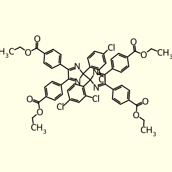 CCOC(=O)c1ccc(C2=NC(c3ccc(Cl)cc3Cl)(C3(c4ccc(Cl)cc4Cl)N=C(c4ccc(C(=O)OCC)cc4)C(c4ccc(C(=O)OCC)cc4)=N3)N=C2c2ccc(C(=O)OCC)cc2)cc1